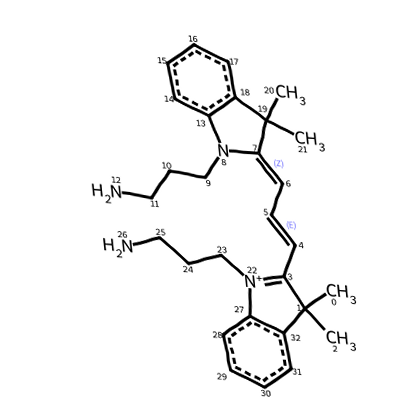 CC1(C)C(/C=C/C=C2\N(CCCN)c3ccccc3C2(C)C)=[N+](CCCN)c2ccccc21